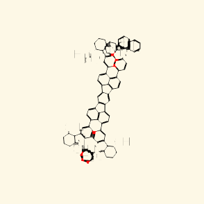 CC1CCCC2(C)C1c1cc(-c3ccc4c5cc6c(cc5c5ccc(-c7ccc8c(c7)C7C(C)CCCC7(C)N8c7ccccc7)c3c45)c3ccc(-c4ccc5c(c4)C4C(C)CCCC4(C)N5c4ccccc4)c4c(-c5ccc7c(c5)C5C(C)CCCC5(C)N7c5ccccc5)ccc6c43)ccc1N2c1ccccc1